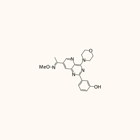 CON=C(C)c1cnc2c(N3CCOCC3)nc(-c3cccc(O)c3)nc2c1